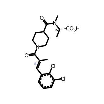 C/C(=C\c1cccc(Cl)c1Cl)C(=O)N1CCC(C(=O)N(C)[C@@H](C)C(=O)O)CC1